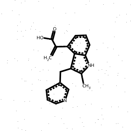 C=C(C(=O)O)c1cccc2[nH]c(C)c(Cc3cccnc3)c12